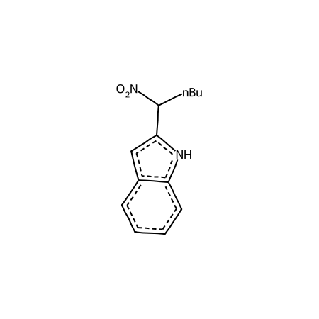 CCCCC(c1cc2ccccc2[nH]1)[N+](=O)[O-]